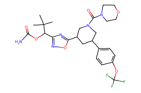 CC(C)(C)C(OC(N)=O)c1noc(C2CC(c3ccc(OC(F)(F)F)cc3)CN(C(=O)N3CCOCC3)C2)n1